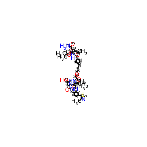 Cc1ncsc1-c1ccc(CNC(=O)[C@@H]2C[C@@H](O)CN2C(=O)[C@@H](NC(=O)COCCCCc2ccc(CO[C@H](C)[C@H](CCC(N)=O)NC(=O)OC(C)(C)C)cc2)C(C)(C)C)cc1